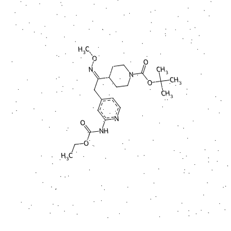 CCOC(=O)Nc1cc(C/C(=N/OC)C2CCN(C(=O)OC(C)(C)C)CC2)ccn1